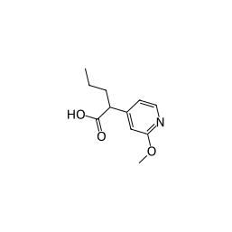 CCCC(C(=O)O)c1ccnc(OC)c1